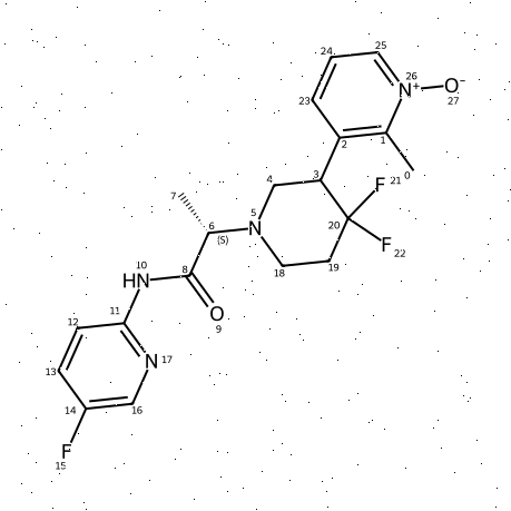 Cc1c(C2CN([C@@H](C)C(=O)Nc3ccc(F)cn3)CCC2(F)F)ccc[n+]1[O-]